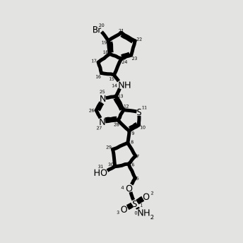 NS(=O)(=O)OCC1CC(c2csc3c(NC4CCc5c(Br)cccc54)ncnc23)CC1O